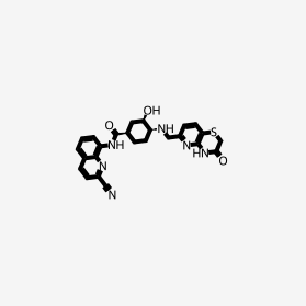 N#Cc1ccc2cccc(NC(=O)[C@@H]3CC[C@@H](NCc4ccc5c(n4)NC(=O)CS5)[C@H](O)C3)c2n1